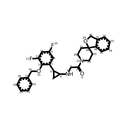 O=C(CNC1CC1c1cc(F)cc(F)c1OCc1ccccc1)N1CCC2(CC1)OCc1ccccc12